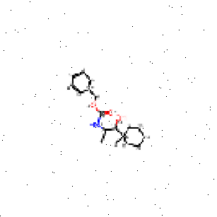 CC(NC(=O)OCc1ccccc1)C(O)C1(C)CCCCC1